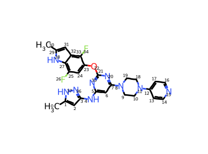 Cc1cc(Nc2cc(N3CCN(c4ccncc4)CC3)nc(Oc3cc(F)c4[nH]c(C)cc4c3F)n2)n[nH]1